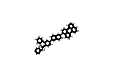 c1ccc2c(c1)nc1c3ccc(-c4ccc5cc(-c6ccc7c8cccc9cccc(c%10cccc6c%107)c98)ccc5c4)cc3c3ccccc3n21